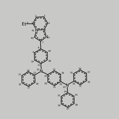 CCc1cccc2nc(-c3ccc(N(c4ccccc4)c4ccc(N(c5ccccc5)c5ccccc5)cc4)cc3)cn12